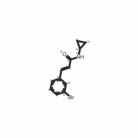 O=C(/C=C/c1cccc(Br)c1)NC1CC1